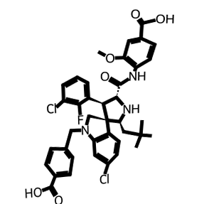 COc1cc(C(=O)O)ccc1NC(=O)[C@@H]1N[C@@H](CC(C)(C)C)[C@@]2(CN(Cc3ccc(C(=O)O)cc3)c3cc(Cl)ccc32)[C@H]1c1cccc(Cl)c1F